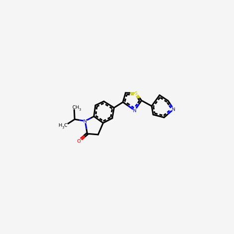 CC(C)N1C(=O)Cc2cc(-c3csc(-c4ccncc4)n3)ccc21